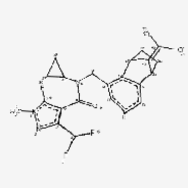 Cn1nc(C(F)F)c(C(=O)N(Cc2cccc3c2C2CCC3C2=C(Cl)Cl)C2CC2)c1F